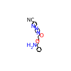 N#Cc1ccc(N2CCN(C(=O)CCOCC(N)c3ccccc3)CC2)nc1